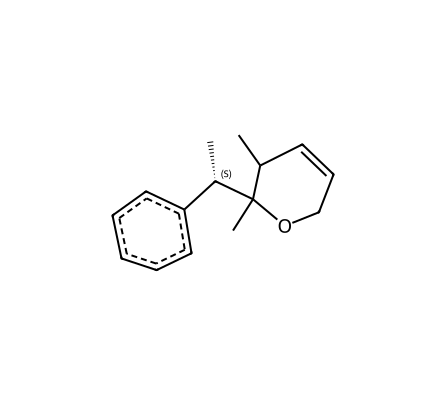 CC1C=CCOC1(C)[C@@H](C)c1ccccc1